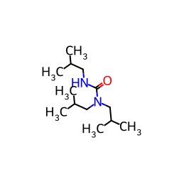 CC(C)CNC(=O)N(CC(C)C)CC(C)C